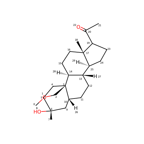 COC[C@]12CC[C@@](C)(O)C[C@H]1CC[C@@H]1[C@@H]2CC[C@]2(C)C(C(C)=O)CC[C@@H]12